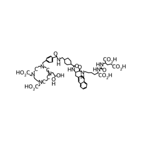 O=C(O)CCC(NC(=O)NC(CCCCNC(=O)C(Cc1ccc2ccccc2c1)NC(=O)C1CCC(CNC(=O)c2ccc(CN3CCCN(CC(=O)O)CCN(CC(=O)O)CCCN(CC(O)O)CC3)cc2)CC1)C(=O)O)C(=O)O